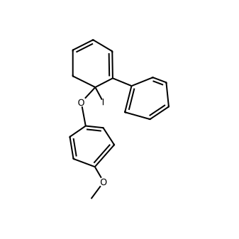 COc1ccc(OC2(I)CC=CC=C2c2ccccc2)cc1